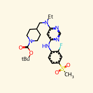 CCN(CC1CCN(C(=O)OC(C)(C)C)CC1)c1cc(Nc2ccc(S(C)(=O)=O)cc2F)ncn1